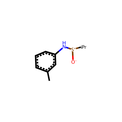 Cc1cccc(N[S+]([O-])C(C)C)c1